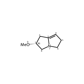 CO[C@@H]1CC2=CCCN2C1